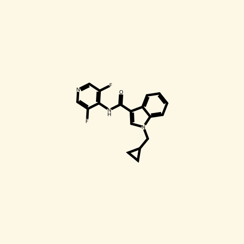 O=C(Nc1c(F)cncc1F)c1cn(CC2CC2)c2ccccc12